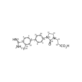 N=C(N)c1ccc(-c2ccc(N3CCN(CCC(=O)O)C3=O)cc2)cc1F